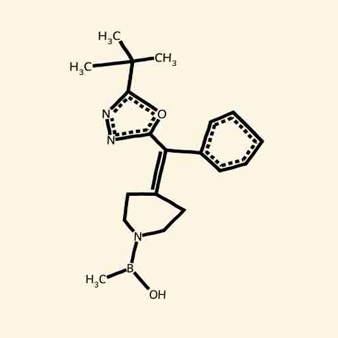 CB(O)N1CCC(=C(c2ccccc2)c2nnc(C(C)(C)C)o2)CC1